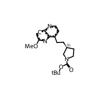 COc1ccc2nccc(CC[C@H]3CCN(C(=O)OC(C)(C)C)C3)c2n1